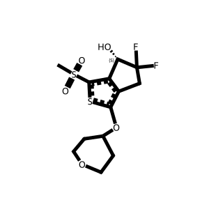 CS(=O)(=O)c1sc(OC2CCOCC2)c2c1[C@H](O)C(F)(F)C2